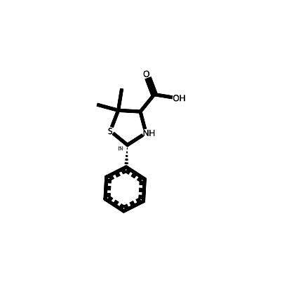 CC1(C)S[C@@H](c2ccccc2)NC1C(=O)O